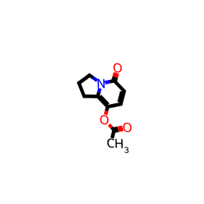 CC(=O)Oc1ccc(=O)n2c1CCC2